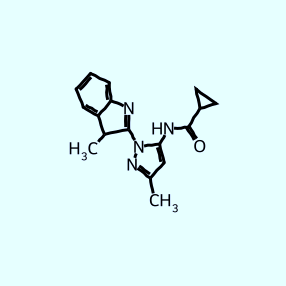 Cc1cc(NC(=O)C2CC2)n(C2=Nc3ccccc3C2C)n1